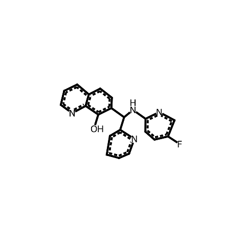 Oc1c(C(Nc2ccc(F)cn2)c2ccccn2)ccc2cccnc12